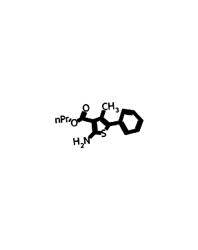 CCCOC(=O)c1c(N)sc(-c2ccccc2)c1C